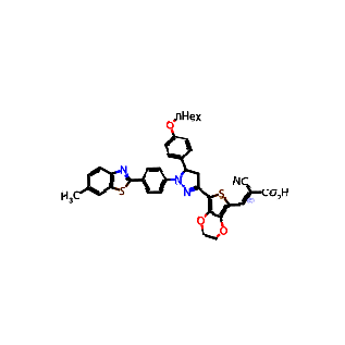 CCCCCCOc1ccc(C2CC(c3sc(/C=C(\C#N)C(=O)O)c4c3OCCO4)=NN2c2ccc(-c3nc4ccc(C)cc4s3)cc2)cc1